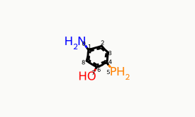 Nc1ccc(P)c(O)c1